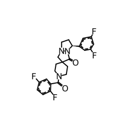 O=C(c1cc(F)ccc1F)N1CCC2(CC1)CN1CC[C@@H](c3cc(F)cc(F)c3)N1C2=O